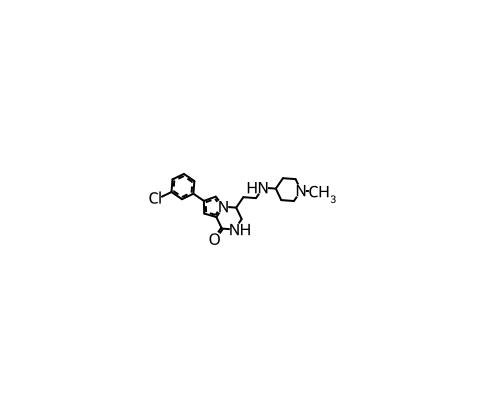 CN1CCC(NCCC2CNC(=O)c3cc(-c4cccc(Cl)c4)cn32)CC1